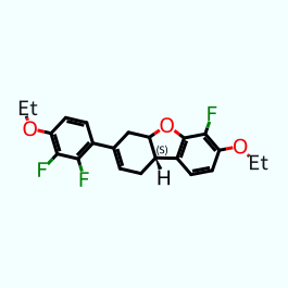 CCOc1ccc(C2=CC[C@H]3c4ccc(OCC)c(F)c4OC3C2)c(F)c1F